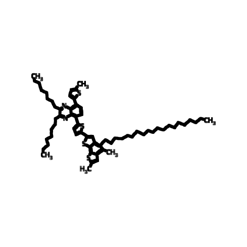 CCCCCCCCCCCCCCCCCCCCc1c(C)c2cc(C)sc2c2sc(-c3ccc(-c4ccc(-c5ccc(C)s5)c5nc(CCCCCCCC)c(CCCCCCCC)nc45)s3)cc12